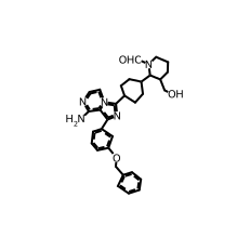 Nc1nccn2c(C3CCC(C4C(CO)CCCN4C=O)CC3)nc(-c3cccc(OCc4ccccc4)c3)c12